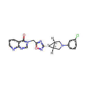 O=c1c2cccnc2ncn1Cc1nc([C@@H]2[C@@H]3CN(c4cccc(Cl)c4)C[C@@H]32)no1